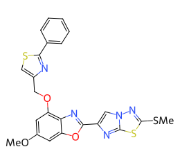 COc1cc(OCc2csc(-c3ccccc3)n2)c2nc(-c3cn4nc(SC)sc4n3)oc2c1